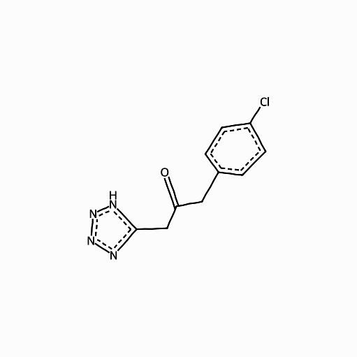 O=C(Cc1ccc(Cl)cc1)Cc1nnn[nH]1